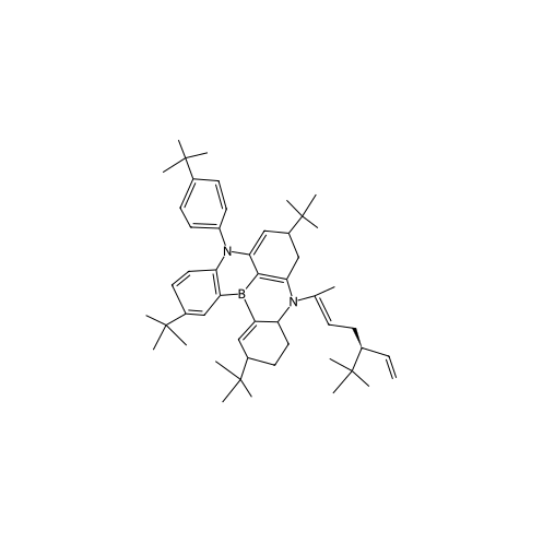 C=C[C@H](C/C=C(\C)N1C2=C3B(C4=CC(C(C)(C)C)CCC41)c1cc(C(C)(C)C)ccc1N(c1ccc(C(C)(C)C)cc1)C3=CC(C(C)(C)C)C2)C(C)(C)C